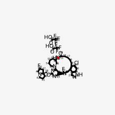 O=C(O)C(F)(F)F.O=C(O)C(F)(F)F.O=C1CCCCc2c(Cl)cc3[nH]ncc3c2-c2ncc3c(nc(OC[C@@]45CCCN4C[C@H](F)C5)nc3c2F)N2CCCC[C@H](C2)N1